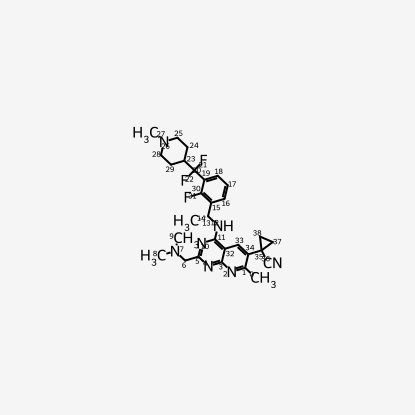 Cc1nc2nc(CN(C)C)nc(N[C@H](C)c3cccc(C(F)(F)C4CCN(C)CC4)c3F)c2cc1C1(C#N)CC1